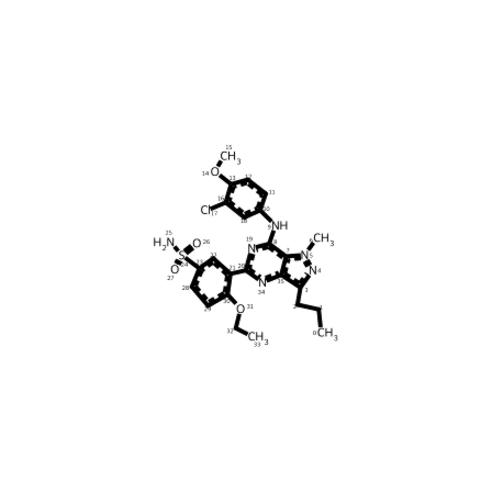 CCCc1nn(C)c2c(Nc3ccc(OC)c(Cl)c3)nc(-c3cc(S(N)(=O)=O)ccc3OCC)nc12